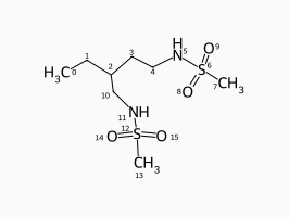 CCC(CCNS(C)(=O)=O)CNS(C)(=O)=O